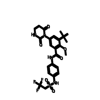 COc1c(C(=O)Nc2ccc(NS(=O)(=O)CC(F)(F)F)cc2)cc(N2C(=O)CCNC2=O)cc1C(C)(C)C